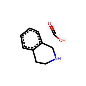 O=CO.c1ccc2c(c1)CCNC2